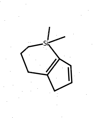 C[Si]1(C)CCCC2=C1C=CC2